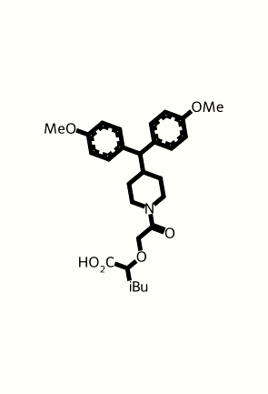 CCC(C)C(OCC(=O)N1CCC(C(c2ccc(OC)cc2)c2ccc(OC)cc2)CC1)C(=O)O